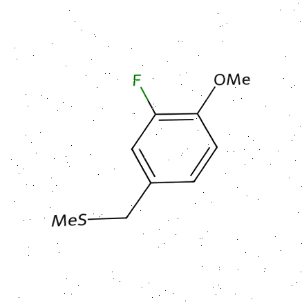 COc1ccc(CSC)cc1F